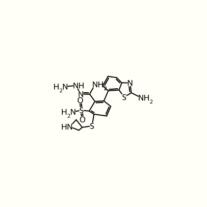 NN/N=C(\N)c1c(-c2cccc3nc(N)sc23)ccc(SC2CNC2)c1S(N)(=O)=O